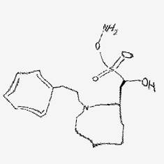 NOS(=O)(=O)C(O)[C@H]1CCCCN1Cc1ccccc1